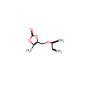 C=CC(=C)OCc1oc(=O)oc1C